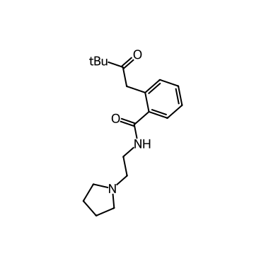 CC(C)(C)C(=O)Cc1ccccc1C(=O)NCCN1CCCC1